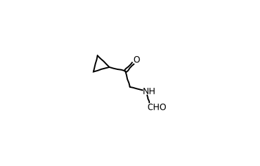 O=CNCC(=O)C1CC1